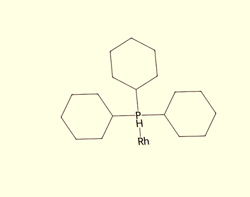 [Rh][PH](C1CCCCC1)(C1CCCCC1)C1CCCCC1